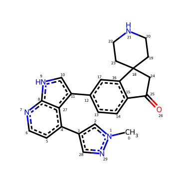 Cn1cc(-c2ccnc3[nH]cc(-c4ccc5c(c4)C4(CCNCC4)CC5=O)c23)cn1